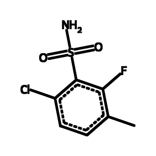 Cc1ccc(Cl)c(S(N)(=O)=O)c1F